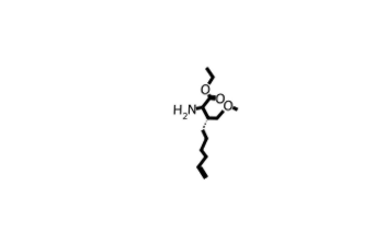 C=CCCCC[C@@H](COC)C(N)C(=O)OCC